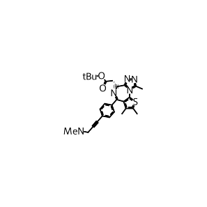 CNCC#Cc1ccc(C2=N[C@H](CC(=O)OC(C)(C)C)c3nnc(C)n3-c3sc(C)c(C)c32)cc1